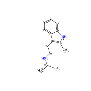 Cc1[nH]c2ccccc2c1CCNC(C)C